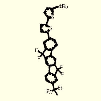 CCC(C)(CC)c1ccc2c(c1)C(F)(F)c1cc3c(cc1-2)C(F)(F)c1cc(-c2ccc(-c4ccc(C(C)(C)C)s4)s2)ccc1-3